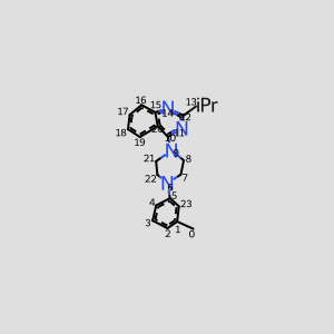 Cc1cccc(N2CCN(c3nc(C(C)C)nc4ccccc34)CC2)c1